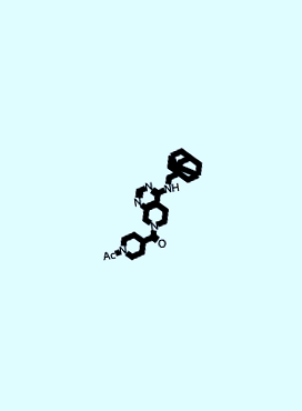 CC(=O)N1CCC(C(=O)N2CCc3c(ncnc3NCC34CC5CC(CC(C5)C3)C4)C2)CC1